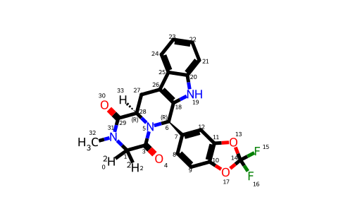 [2H]C1([2H])C(=O)N2[C@H](c3ccc4c(c3)OC(F)(F)O4)c3[nH]c4ccccc4c3C[C@@H]2C(=O)N1C